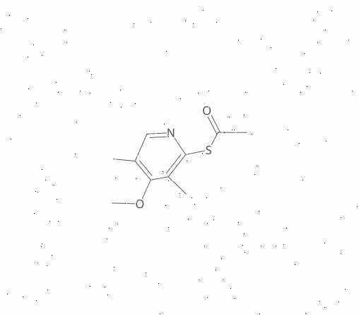 COc1c(C)cnc(SC(C)=O)c1C